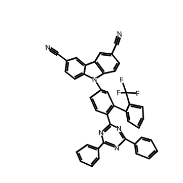 N#Cc1ccc2c(c1)c1cc(C#N)ccc1n2-c1ccc(-c2nc(-c3ccccc3)nc(-c3ccccc3)n2)c(-c2ccccc2C(F)(F)F)c1